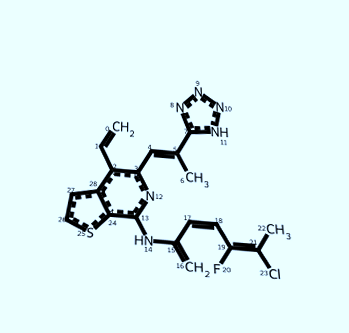 C=Cc1c(/C=C(\C)c2nnn[nH]2)nc(NC(=C)/C=C\C(F)=C(/C)Cl)c2sccc12